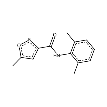 Cc1cc(C(=O)Nc2c(C)cccc2C)no1